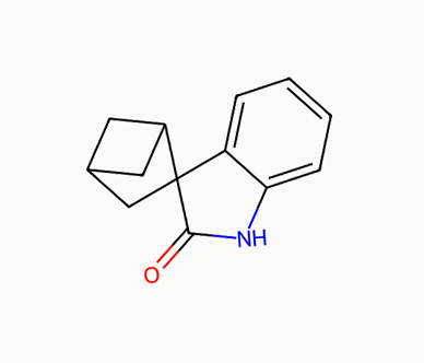 O=C1Nc2ccccc2C12CC1CC2C1